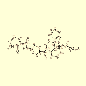 CCOC(=O)[C@H](C)NC(=O)[C@@]1(c2ccccc2)CC[C@H](C(=O)N2CCC(NC(=O)c3cccn(C)c3=O)CC2)c2ccccc21